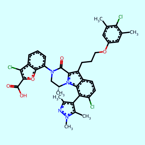 Cc1cc(OCCCc2c3n(c4c(-c5c(C)nn(C)c5C)c(Cl)ccc24)[C@H](C)CN(c2cccc4c(Cl)c(C(=O)O)oc24)C3=O)cc(C)c1Cl